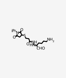 CC(C)N1C(=O)CC(SCCC(=O)NN[C@H](C=O)CCCCN)C1=O